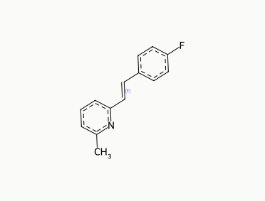 Cc1cccc(/C=C/c2ccc(F)cc2)n1